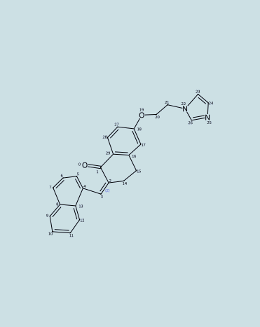 O=C1/C(=C\c2cccc3ccccc23)CCc2cc(OCCn3ccnc3)ccc21